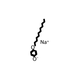 CCCCCCCCCCCCOc1ccc([O-])cc1.[Na+]